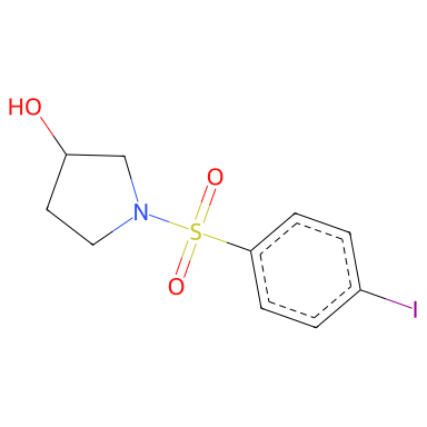 O=S(=O)(c1ccc(I)cc1)N1CCC(O)C1